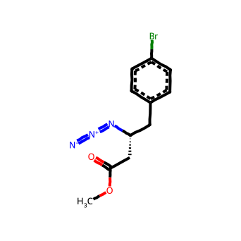 COC(=O)C[C@@H](Cc1ccc(Br)cc1)N=[N+]=[N-]